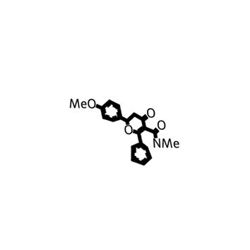 CNC(=O)C1=C(c2ccccc2)OC(c2ccc(OC)cc2)CC1=O